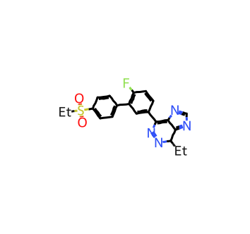 CCC1N=NC(c2ccc(F)c(-c3ccc(S(=O)(=O)CC)cc3)c2)=C2N=CN=C21